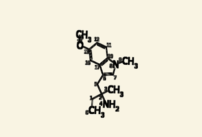 CCC(C)(N)Cc1cn(C)c2ccc(OC)cc12